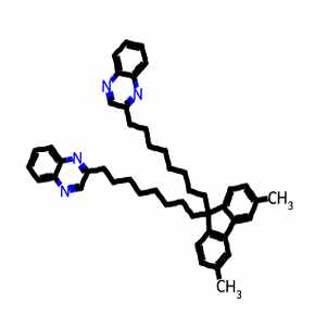 Cc1ccc2c(c1)-c1cc(C)ccc1C2(CCCCCCCCc1cnc2ccccc2n1)CCCCCCCCc1cnc2ccccc2n1